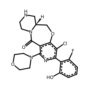 O=C1c2c(N3CCOCC3)nc(-c3c(O)cccc3F)c(Cl)c2OC[C@H]2CNCCN12